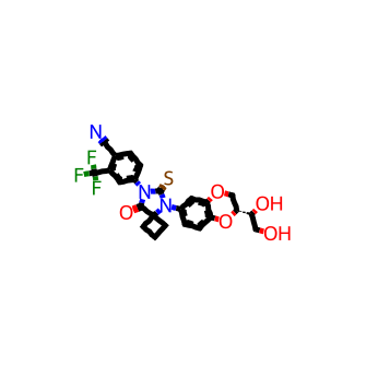 N#Cc1ccc(N2C(=O)C3(CCC3)N(c3ccc4c(c3)OC[C@H](C(O)CO)O4)C2=S)cc1C(F)(F)F